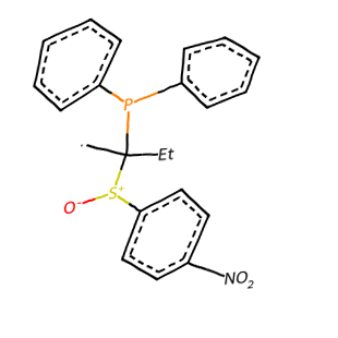 [CH2]C(CC)(P(c1ccccc1)c1ccccc1)[S+]([O-])c1ccc([N+](=O)[O-])cc1